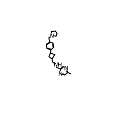 Cc1cnc(CNCC2CC(c3ccc(CN4CCCC4)cc3)C2)cn1